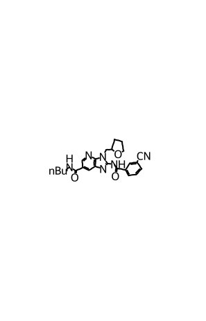 CCCCNC(=O)c1cnc2c(c1)nc(NC(=O)c1cccc(C#N)c1)n2CC1CCCO1